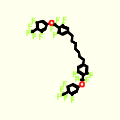 Fc1cc(OC(F)(F)c2c(F)cc(CCCCCCCc3cc(F)c(C(F)(F)Oc4cc(F)c(C(F)(F)F)c(F)c4)c(F)c3)cc2F)cc(F)c1C(F)(F)F